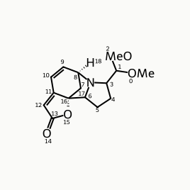 COC(OC)C1CCC2N1[C@@H]1C=CC3=CC(=O)O[C@@]32C1